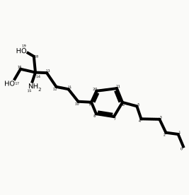 CCCCCCc1ccc(CCCCC(N)(CO)CO)cc1